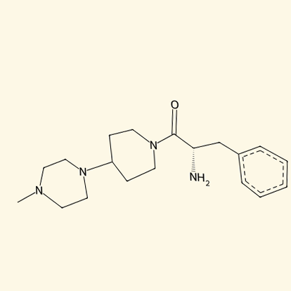 CN1CCN(C2CCN(C(=O)[C@@H](N)Cc3ccccc3)CC2)CC1